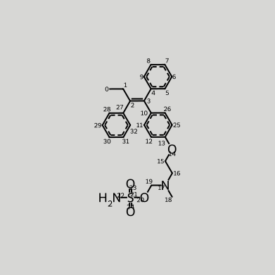 CC/C(=C(\c1ccccc1)c1ccc(OCCN(C)COS(N)(=O)=O)cc1)c1ccccc1